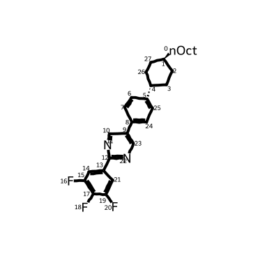 CCCCCCCC[C@H]1CC[C@H](c2ccc(-c3cnc(-c4cc(F)c(F)c(F)c4)nc3)cc2)CC1